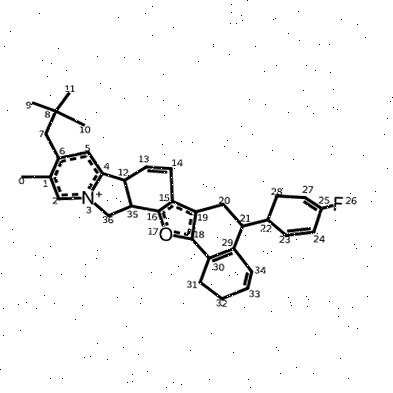 Cc1c[n+]2c(cc1CC(C)(C)C)C1C=Cc3c(oc4c3CC(C3C=CC(F)=CC3)C3=C4CCC=C3)C1C2